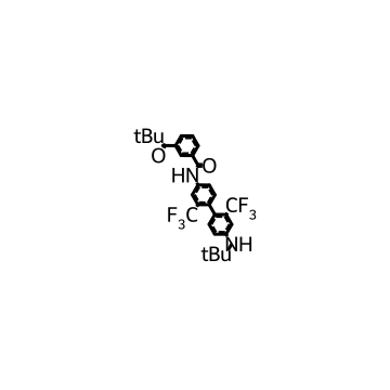 CC(C)(C)Nc1ccc(-c2ccc(NC(=O)c3cccc(C(=O)C(C)(C)C)c3)cc2C(F)(F)F)c(C(F)(F)F)c1